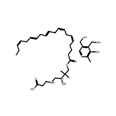 CC/C=C\CC=CCC=CC/C=C\C/C=C\CCCC(=O)OCC(C)(C)[C@@H](O)CNCCC(=O)O.Cc1ncc(CO)c(CO)c1O